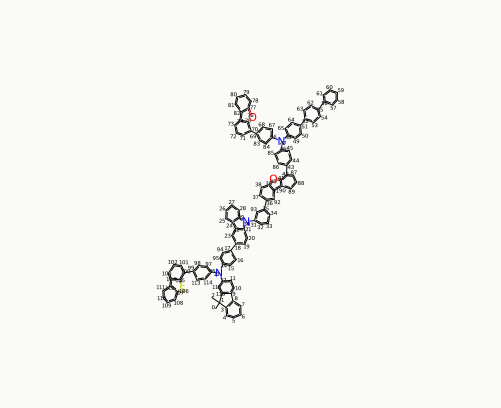 CC1(C)c2ccccc2-c2ccc(N(c3ccc(-c4ccc5c(c4)c4ccccc4n5-c4cccc(-c5ccc6oc7c(-c8ccc(N(c9ccc(-c%10ccc(-c%11ccccc%11)cc%10)cc9)c9ccc(-c%10cccc%11c%10oc%10ccccc%10%11)cc9)cc8)cccc7c6c5)c4)cc3)c3ccc(-c4cccc5c4sc4ccccc45)cc3)cc21